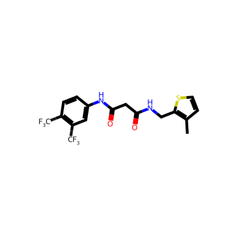 Cc1ccsc1CNC(=O)CC(=O)Nc1ccc(C(F)(F)F)c(C(F)(F)F)c1